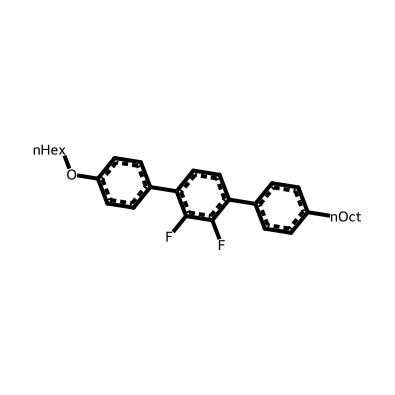 CCCCCCCCc1ccc(-c2ccc(-c3ccc(OCCCCCC)cc3)c(F)c2F)cc1